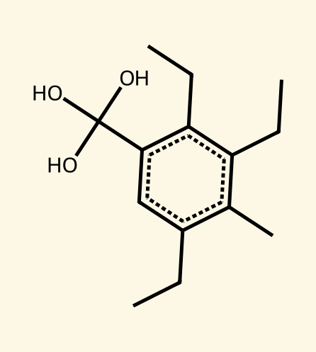 CCc1cc(C(O)(O)O)c(CC)c(CC)c1C